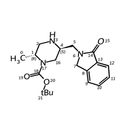 C[C@@H]1CN[C@@H](CN2Cc3ccccc3C2=O)CN1C(=O)OC(C)(C)C